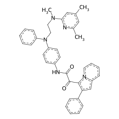 Cc1cc(C)nc(N(C)CCN(c2ccccc2)c2ccc(NC(=O)C(=O)c3c(-c4ccccc4)cc4ccccn34)cc2)c1